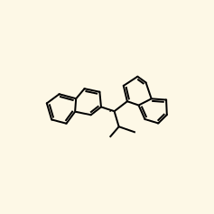 CC(C)[C](c1ccc2ccccc2c1)c1cccc2ccccc12